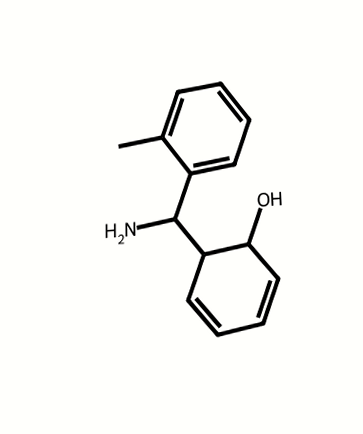 Cc1ccccc1C(N)C1C=CC=CC1O